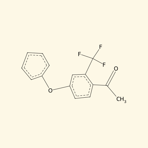 CC(=O)c1ccc(Oc2ccccc2)cc1C(F)(F)F